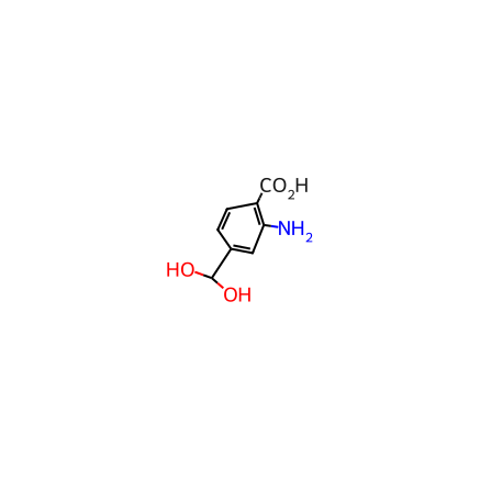 Nc1cc(C(O)O)ccc1C(=O)O